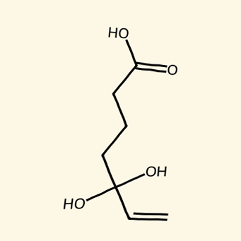 C=CC(O)(O)CCCC(=O)O